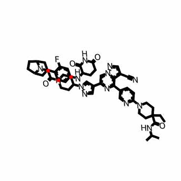 CCC1(C(=O)NC(C)C)CCN(c2ccc(-c3nc(-c4cnn(C5CCN(C(=O)CN6C7CCC6CC(c6ccc(NC8CCC(=O)NC8=O)cc6F)C7)CC5)c4)cn4ncc(C#N)c34)cn2)CC1